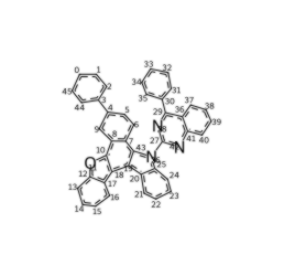 c1ccc(-c2ccc3c(c2)c2oc4ccccc4c2c2c4ccccc4n(-c4nc(-c5ccccc5)c5ccccc5n4)c32)cc1